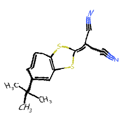 CC(C)(C)c1ccc2c(c1)SC(=C(C#N)C#N)S2